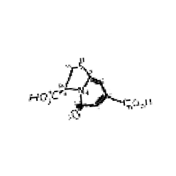 O=C(O)c1cc2n(c(=O)c1)[C@@H](C(=O)O)CS2